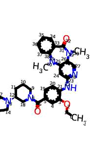 CCOc1cc(C(=O)N2CCC[C@@H](N3CCCC3)C2)ccc1Nc1cc2c(cn1)N(C)C(=O)c1ccccc1N2C